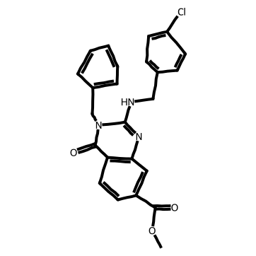 COC(=O)c1ccc2c(=O)n(Cc3ccccc3)c(NCc3ccc(Cl)cc3)nc2c1